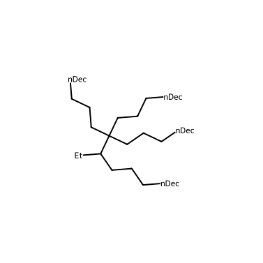 CCCCCCCCCCCCCC(CC)C(CCCCCCCCCCCCC)(CCCCCCCCCCCCC)CCCCCCCCCCCCC